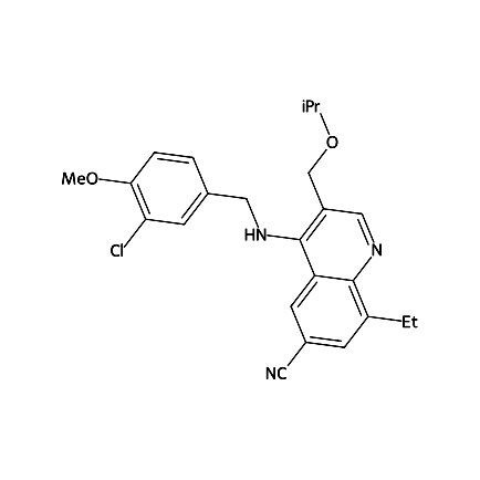 CCc1cc(C#N)cc2c(NCc3ccc(OC)c(Cl)c3)c(COC(C)C)cnc12